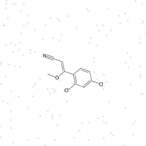 COC(=CC#N)c1ccc(Cl)cc1Cl